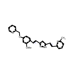 COc1cc(OCc2ccccn2)ccc1/C=C/c1cc(/C=C/c2cccc(C)n2)[nH]n1